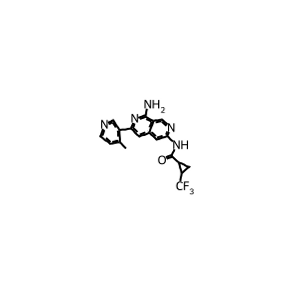 Cc1ccncc1-c1cc2cc(NC(=O)C3CC3C(F)(F)F)ncc2c(N)n1